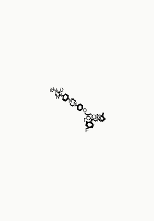 CCC(C)n1cnn(-c2ccc(N3CCN(c4ccc(OCC5COC(Cn6ccc(C)n6)(c6ccc(F)cc6F)O5)cc4)CC3)cc2)c1=O